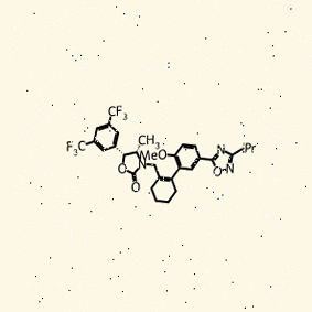 COc1ccc(-c2nc(C(C)C)no2)cc1C1=C(CN2C(=O)O[C@H](c3cc(C(F)(F)F)cc(C(F)(F)F)c3)[C@@H]2C)CCCC1